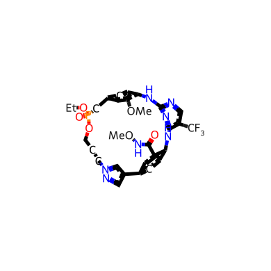 CCOP1(=O)Cc2ccc(c(OC)c2)Nc2ncc(C(F)(F)F)c(n2)Nc2ccc(cc2C(=O)NOC)-c2cnn(c2)CCCO1